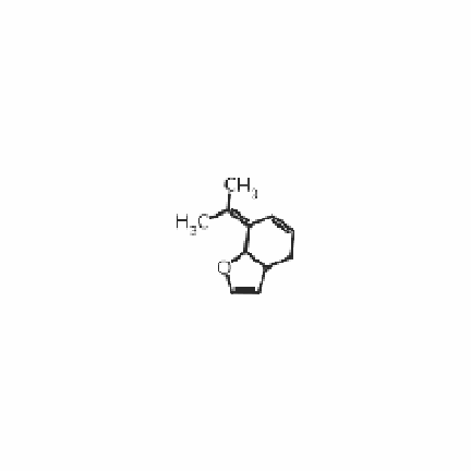 CC(C)=C1C=CCC2C=COC12